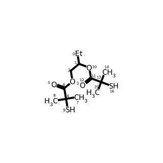 CCC(COC(=O)C(C)(C)S)OC(=O)C(C)(C)S